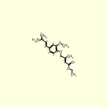 CCOC(=O)/C=C(\C)COc1ccc(/C=C/C(C)C)cc1OC